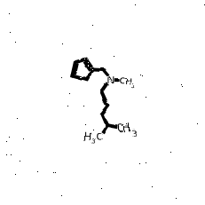 CC(C)CCCN(C)CC1=CC=CC1